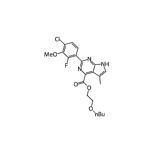 CCCCOCCOC(=O)c1nc(-c2ccc(Cl)c(OC)c2F)nc2[nH]cc(C)c12